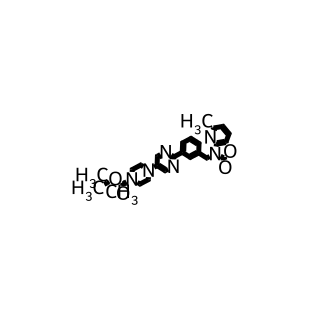 Cc1ccc2oc(=O)n(Cc3cccc(-c4ncc(N5CCN(C(=O)OC(C)(C)C)CC5)cn4)c3)c2n1